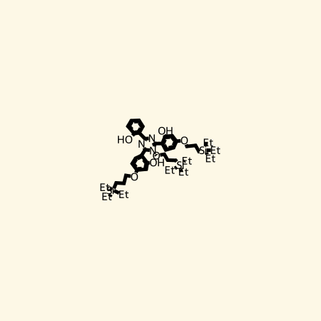 CC[Si](CC)(CC)CCCOc1ccc(C2=NC(c3ccccc3O)=NC(c3ccc(OCCC[Si](CC)(CC)CC)cc3O)N2OCCC[Si](CC)(CC)CC)c(O)c1